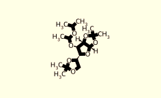 CC(C)OC(C)O[C@@H]1[C@H]2OC(C)(C)O[C@H]2O[C@@H]1C1COC(C)(C)O1